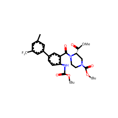 COC(=O)[C@@H]1CN(C(=O)OC(C)(C)C)CCN1C(=O)c1cc(-c2cc(C)cc(C(F)(F)F)c2)ccc1NC(=O)OC(C)(C)C